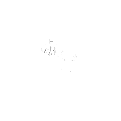 O=S(=O)(Nc1nccs1)c1cc2c(cc1F)[C@@H](N1CC[C@H](C(F)(F)F)C[C@@H]1c1ccc(F)cc1)CCO2